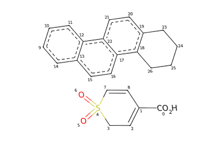 O=C(O)C1=CCS(=O)(=O)C=C1.c1ccc2c(c1)ccc1c3c(ccc12)CCCC3